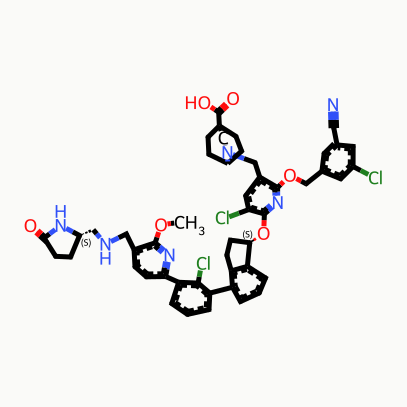 COc1nc(-c2cccc(-c3cccc4c3CC[C@@H]4Oc3nc(OCc4cc(Cl)cc(C#N)c4)c(CN4CC5(C(=O)O)CCC4CC5)cc3Cl)c2Cl)ccc1CNC[C@@H]1CCC(=O)N1